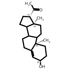 CC(=O)[C@H]1CCC2C3CCC4=C[C@H](O)CC[C@]4(C)C3CC[C@@]21C